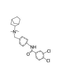 C[N+](C)(Cc1ccc(NC(=O)c2ccc(Cl)c(Cl)c2)cc1)C1CC2CCC1C2